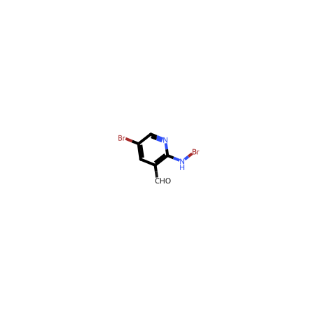 O=Cc1cc(Br)cnc1NBr